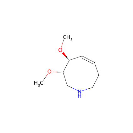 CO[C@H]1/C=C\CCNC[C@@H]1OC